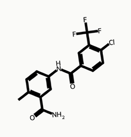 Cc1ccc(NC(=O)c2ccc(Cl)c(C(F)(F)F)c2)cc1C(N)=O